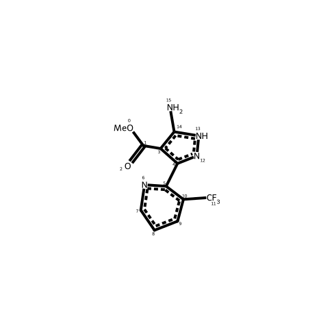 COC(=O)c1c(-c2ncccc2C(F)(F)F)n[nH]c1N